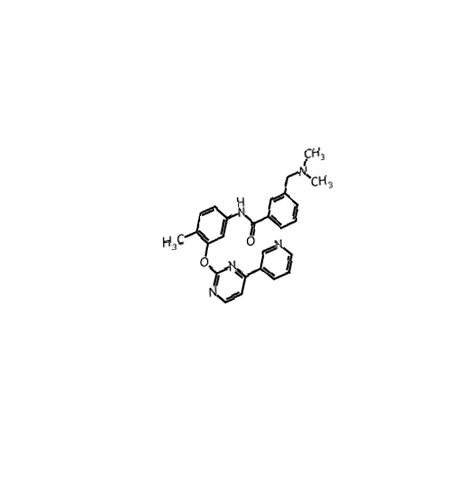 Cc1ccc(NC(=O)c2cccc(CN(C)C)c2)cc1Oc1nccc(-c2cccnc2)n1